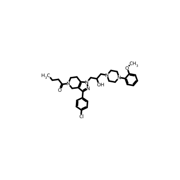 CCCC(=O)N1CCc2c(c(-c3ccc(Cl)cc3)nn2CC(O)CN2CCN(c3ccccc3OC)CC2)C1